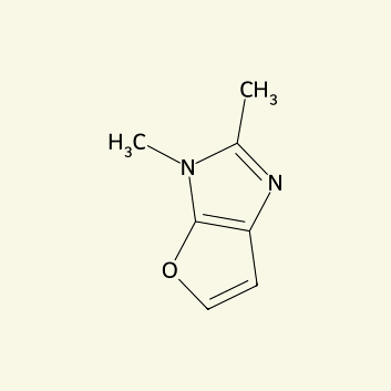 Cc1nc2ccoc2n1C